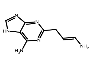 NC=CCc1nc(N)c2[nH]cnc2n1